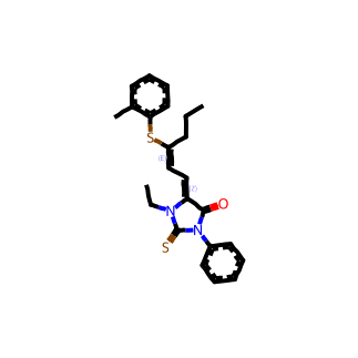 CCC/C(=C\C=C1\C(=O)N(c2ccccc2)C(=S)N1CC)Sc1ccccc1C